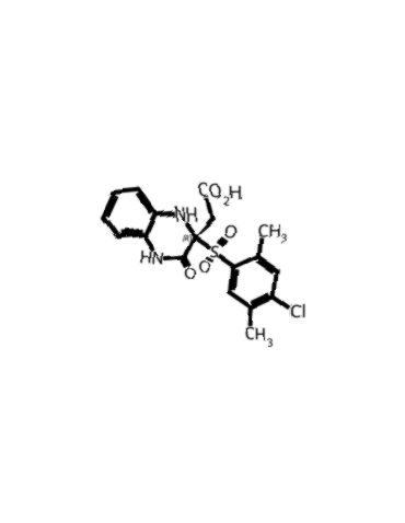 Cc1cc(S(=O)(=O)[C@@]2(CC(=O)O)Nc3ccccc3NC2=O)c(C)cc1Cl